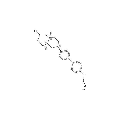 C=CCCc1ccc(-c2ccc([C@@H]3CC[C@@H]4CC(CC)CC[C@@H]4C3)cc2)cc1